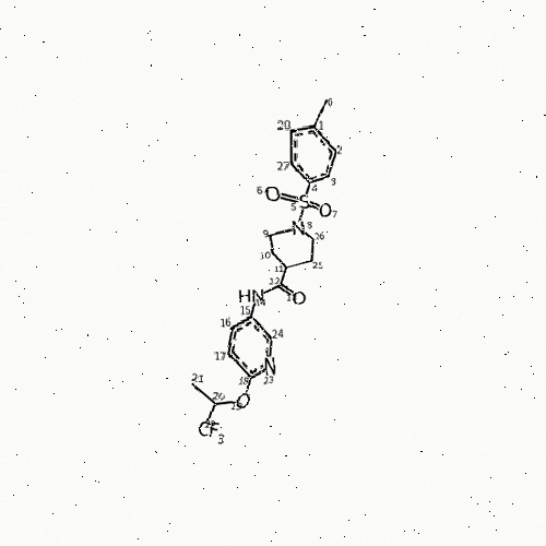 Cc1ccc(S(=O)(=O)N2CCC(C(=O)Nc3ccc(OC(C)C(F)(F)F)nc3)CC2)cc1